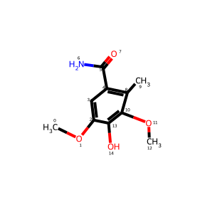 COc1cc(C(N)=O)c(C)c(OC)c1O